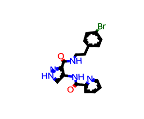 O=C(Nc1c[nH]nc1C(=O)NCCc1ccc(Br)cc1)c1ccccn1